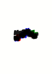 CCC(NCCS(=O)(=O)c1ccccn1)c1nc(-c2cc3c(Nc4ccc(OCc5cccc(F)c5)c(Cl)c4)ncnc3cc2OC)cs1